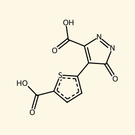 O=C(O)C1=C(c2ccc(C(=O)O)s2)C(=O)N=N1